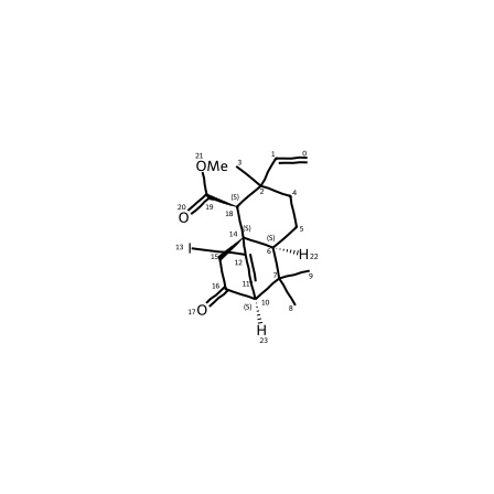 C=CC1(C)CC[C@H]2C(C)(C)[C@@H]3C=C(I)[C@]2(CC3=O)[C@H]1C(=O)OC